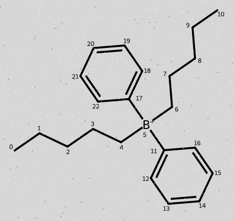 CCCCC[B-](CCCCC)(c1ccccc1)c1ccccc1